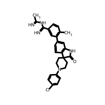 CC(=N)NC(=N)c1ccc(C)c(-c2ccc3c(c2)NC(=O)C32CCN(c3ccc(Cl)cc3)CC2)c1